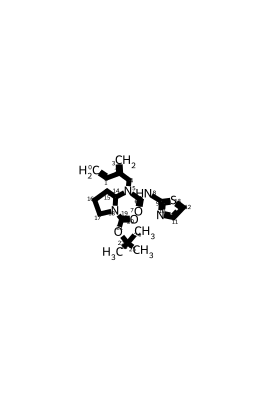 C=CC(=C)CN(C(=O)Nc1nccs1)C1CCCN1C(=O)OC(C)(C)C